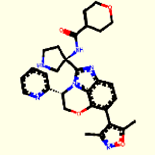 Cc1noc(C)c1-c1ccc2nc([C@@]3(NC(=O)C4CCOCC4)CCNC3)n3c2c1OC[C@@H]3c1ccccn1